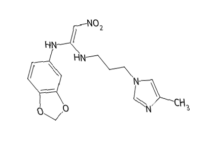 Cc1cn(CCCNC(=C[N+](=O)[O-])Nc2ccc3c(c2)OCO3)cn1